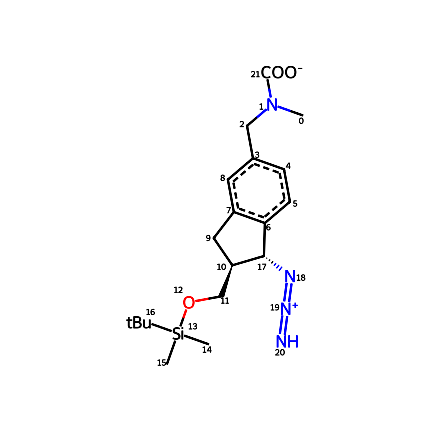 CN(Cc1ccc2c(c1)C[C@H](CO[Si](C)(C)C(C)(C)C)[C@H]2N=[N+]=N)C(=O)[O-]